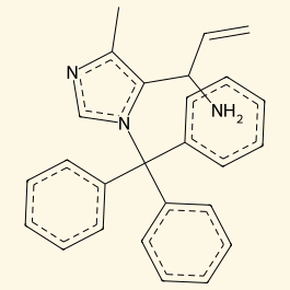 C=CC(N)c1c(C)ncn1C(c1ccccc1)(c1ccccc1)c1ccccc1